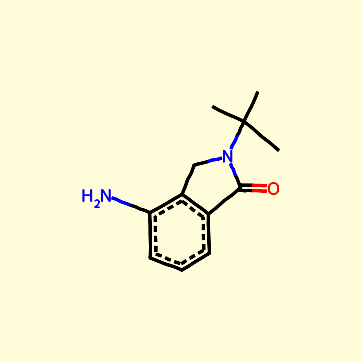 CC(C)(C)N1Cc2c(N)cccc2C1=O